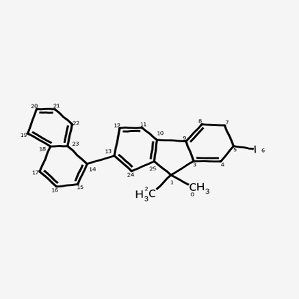 CC1(C)C2=CC(I)CC=C2c2ccc(-c3cccc4ccccc34)cc21